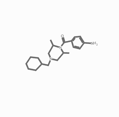 CC1CN(CC2CCCCC2)CC(C)N1C(=O)c1ccc(N)cc1